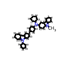 Cn1c2ccccc2c2cc(N(c3ccccc3)c3ccc(-c4ccc5c(c4)c4ccccc4n5-c4ccccc4)cc3)ccc21